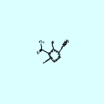 N#Cc1ccc(F)c(C(=O)O)c1Br